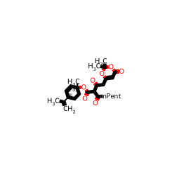 C=C(C)[C@H]1C=C[C@](C)(OC(=O)C(C(=O)CCCCC)C(=O)CC2=CC(=O)OC(C)(C)O2)CC1